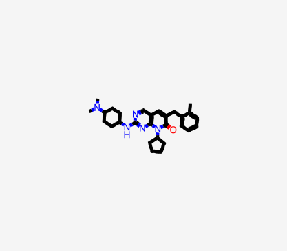 Cc1ccccc1Cc1cc2cnc(NC3CCC(N(C)C)CC3)nc2n(C2CCCC2)c1=O